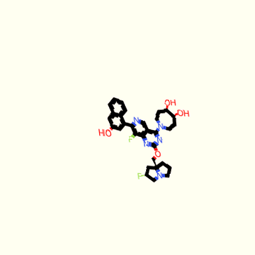 Oc1cc(-c2ncc3c(N4CC[C@@H](O)[C@@H](O)CC4)nc(OC[C@@]45CCCN4C[C@H](F)C5)nc3c2F)c2ccccc2c1